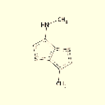 CNc1csc2c(C)csc12